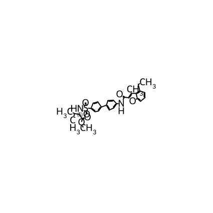 CCc1cccc2oc(C(=O)Nc3ccc(-c4ccc(S(=O)(=O)N[C@H](C(=O)OC)C(C)C)cc4)cc3)c(C)c12